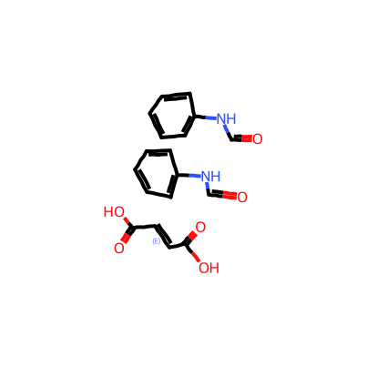 O=C(O)/C=C/C(=O)O.O=CNc1ccccc1.O=CNc1ccccc1